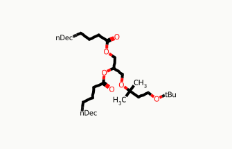 CCCCCCCCCCCCCC(=O)OCC(COC(C)(C)CCOC(C)(C)C)OC(=O)CCCCCCCCCCCCC